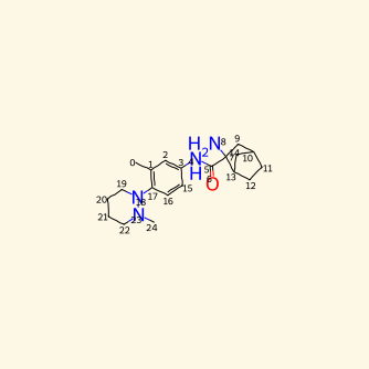 Cc1cc(NC(=O)C2(N)CC3CCC2C3)ccc1N1CCCCN1C